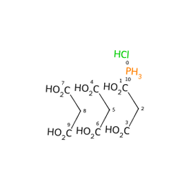 Cl.O=C(O)CC(=O)O.O=C(O)CC(=O)O.O=C(O)CC(=O)O.P